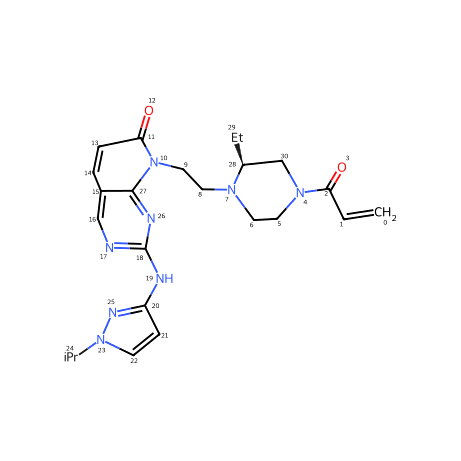 C=CC(=O)N1CCN(CCn2c(=O)ccc3cnc(Nc4ccn(C(C)C)n4)nc32)[C@@H](CC)C1